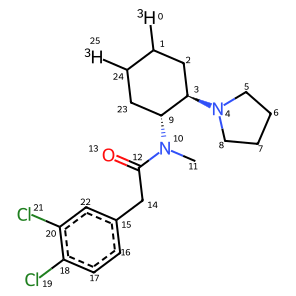 [3H]C1C[C@@H](N2CCCC2)[C@H](N(C)C(=O)Cc2ccc(Cl)c(Cl)c2)CC1[3H]